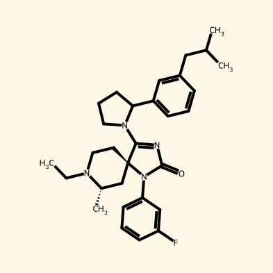 CCN1CC[C@@]2(C[C@@H]1C)C(N1CCCC1c1cccc(CC(C)C)c1)=NC(=O)N2c1cccc(F)c1